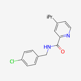 CC(C)c1ccnc(C(=O)NCc2ccc(Cl)cc2)c1